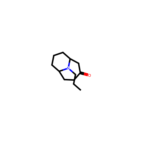 CCCN1C2CCCC1CC(=O)CC2